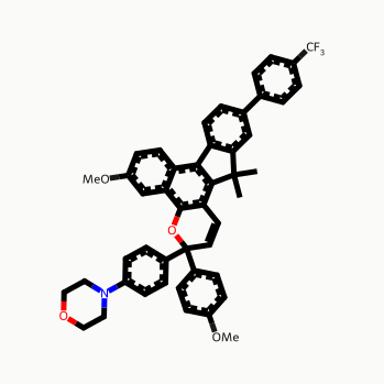 COc1ccc(C2(c3ccc(N4CCOCC4)cc3)C=Cc3c4c(c5ccc(OC)cc5c3O2)-c2ccc(-c3ccc(C(F)(F)F)cc3)cc2C4(C)C)cc1